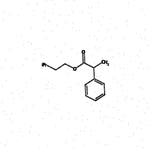 CC(C)CCOC(=O)C(C)c1ccccc1